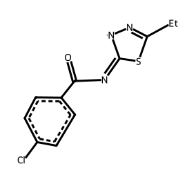 CCC1=N[N]C(=NC(=O)c2ccc(Cl)cc2)S1